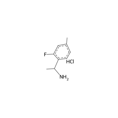 Cc1ccc(C(C)N)c(F)c1.Cl